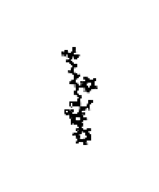 CCN(C(=O)CC/C(=N/OCCCC(F)(F)F)c1cccs1)c1cn(-c2cccnc2)nc1Cl